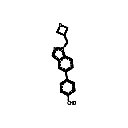 O=Cc1ccc(-c2ccc3c(cnn3CC3COC3)c2)cc1